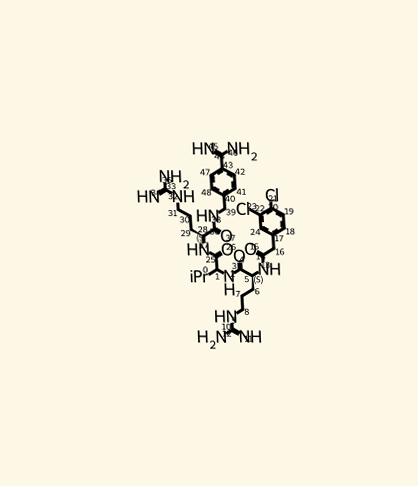 CC(C)C(NC(=O)[C@H](CCCNC(=N)N)NC(=O)Cc1ccc(Cl)c(Cl)c1)C(=O)N[C@@H](CCCNC(=N)N)C(=O)NCc1ccc(C(=N)N)cc1